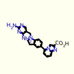 Nc1ncc(CN2CCc3cc(-c4cccc5nc(C(=O)O)cn45)ccc32)c(N)n1